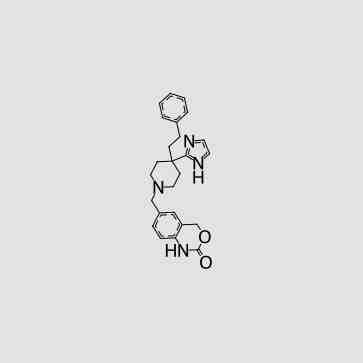 O=C1Nc2ccc(CN3CCC(CCc4ccccc4)(c4ncc[nH]4)CC3)cc2CO1